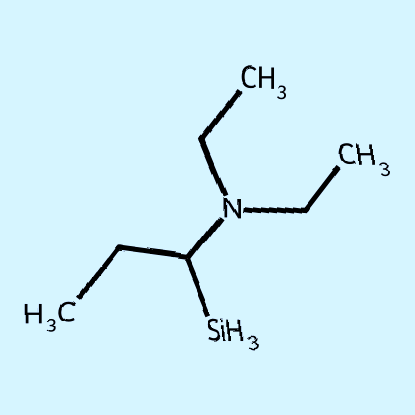 CCC([SiH3])N(CC)CC